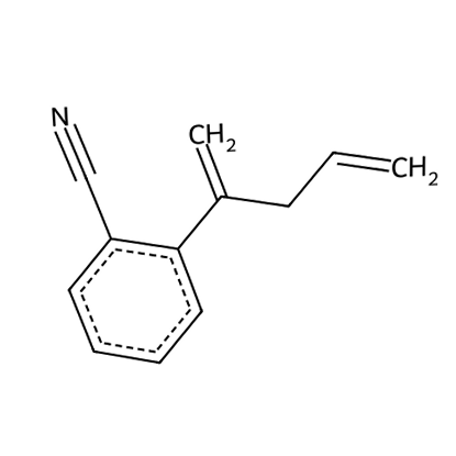 C=CCC(=C)c1ccccc1C#N